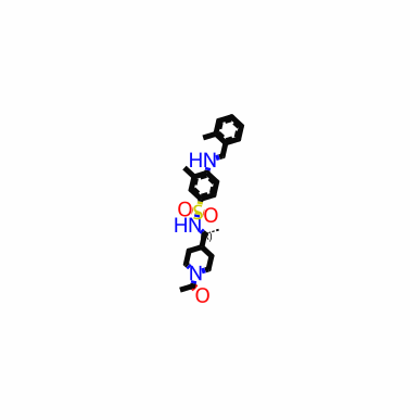 CC(=O)N1CCC([C@@H](C)NS(=O)(=O)c2ccc(NCc3ccccc3C)c(C)c2)CC1